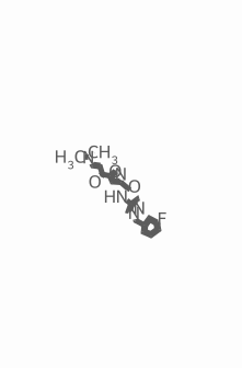 CN(C)C=CC(=O)c1cc(C(=O)Nc2cnn(Cc3cccc(F)c3)c2)no1